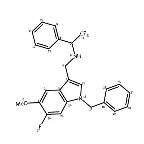 COc1cc2c(CNC(c3ccccc3)C(F)(F)F)cn(Cc3ccccc3)c2cc1F